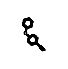 [C]#Cc1ccc(Oc2ccccc2)cc1